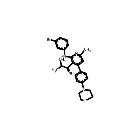 Cc1cc(-c2ccc(N3CCOCC3)cc2)c(C(=N)C(C)C)c(Nc2cccc(Br)c2)n1